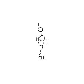 CCCCC[C@H]1CC[C@@H]2C[C@H](c3ccc(I)cc3)CC[C@H]2C1